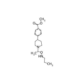 CCCNOC(C)N1CCC(c2ccc(C(=O)OC)cc2)CC1